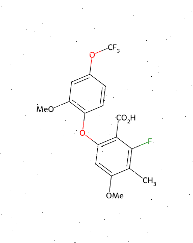 COc1cc(OC(F)(F)F)ccc1Oc1cc(OC)c(C)c(F)c1C(=O)O